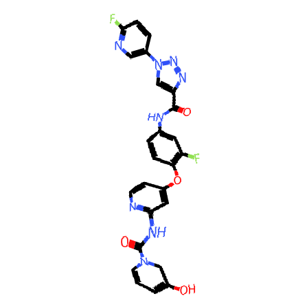 O=C(Nc1ccc(Oc2ccnc(NC(=O)N3C=CC=C(O)C3)c2)c(F)c1)c1cn(-c2ccc(F)nc2)nn1